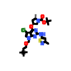 Cc1cc(Nc2nc(O[C@@H]3C[C@H](C)N(C(=O)OC(C)(C)C)C3)c3c(Cl)cn(COCC[Si](C)(C)C)c3n2)sn1